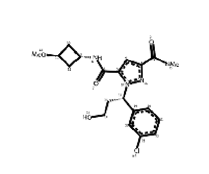 CNC(=O)c1cc(C(=O)N[C@H]2C[C@H](OC)C2)n([C@@H](CCO)c2cccc(Cl)c2)n1